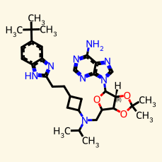 CC(C)N(CC1OC(n2cnc3c(N)ncnc32)[C@@H]2OC(C)(C)OC12)C1CC(CCc2nc3cc(C(C)(C)C)ccc3[nH]2)C1